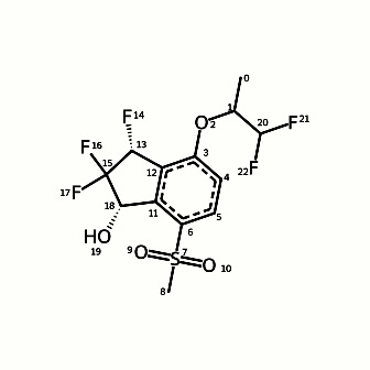 CC(Oc1ccc(S(C)(=O)=O)c2c1[C@@H](F)C(F)(F)[C@H]2O)C(F)F